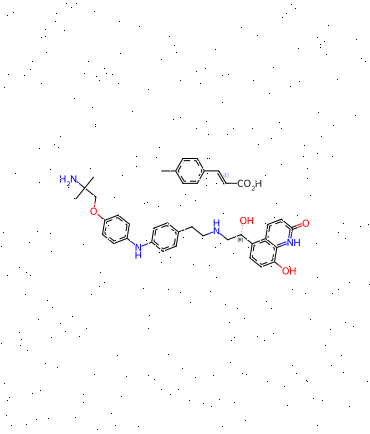 CC(C)(N)COc1ccc(Nc2ccc(CCNC[C@H](O)c3ccc(O)c4[nH]c(=O)ccc34)cc2)cc1.Cc1ccc(/C=C/C(=O)O)cc1